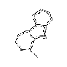 Cc1[c]ccc2c1sc1ccccc12